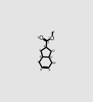 COC(=O)C1CC2CC=CCC2C1